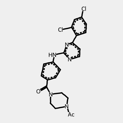 CC(=O)N1CCN(C(=O)c2ccc(Nc3nccc(-c4ccc(Cl)cc4Cl)n3)cc2)CC1